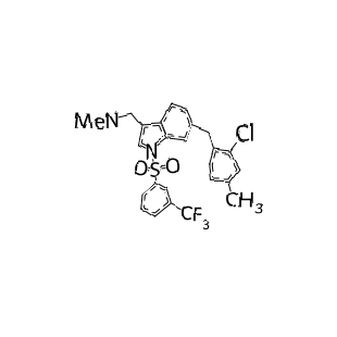 CNCc1cn(S(=O)(=O)c2cccc(C(F)(F)F)c2)c2cc(Cc3ccc(C)cc3Cl)ccc12